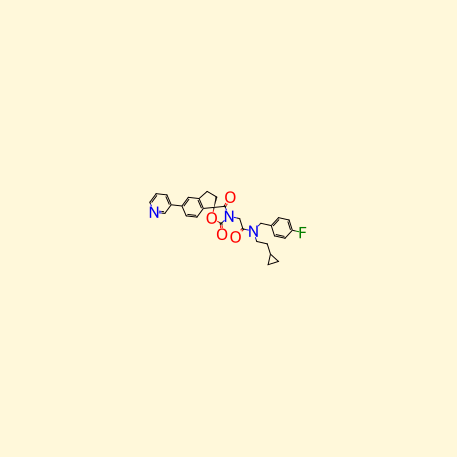 O=C(CN1C(=O)O[C@@]2(CCc3cc(-c4cccnc4)ccc32)C1=O)N(CCC1CC1)Cc1ccc(F)cc1